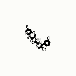 CCc1cnc(C(=O)N[C@H]2COc3cc(F)cnc3N(C)C2=O)nc1-c1cccc(Cl)c1